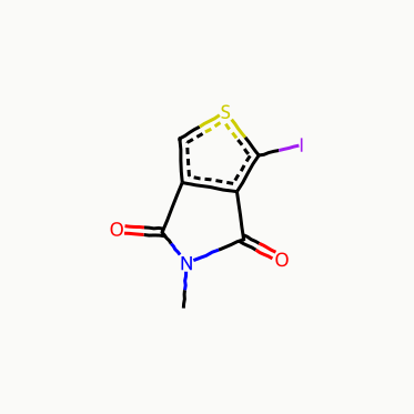 CN1C(=O)c2csc(I)c2C1=O